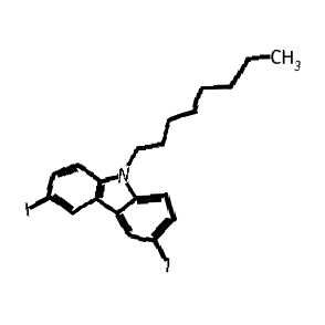 CCCCCCCCn1c2ccc(I)cc2c2cc(I)ccc21